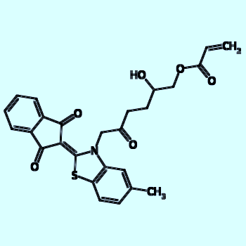 C=CC(=O)OCC(O)CCC(=O)CN1C(=C2C(=O)c3ccccc3C2=O)Sc2ccc(C)cc21